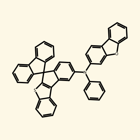 c1ccc(N(c2ccc3c(c2)-c2c(sc4ccccc24)C32c3ccccc3-c3ccccc32)c2ccc3c(c2)oc2ccccc23)cc1